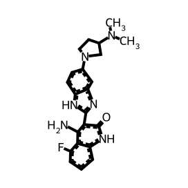 CN(C)C1CCN(c2ccc3[nH]c(-c4c(N)c5c(F)cccc5[nH]c4=O)nc3c2)C1